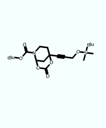 CC(C)(C)OC(=O)N1CCC2(C#CCO[Si](C)(C)C(C)(C)C)CC1OC(=O)O2